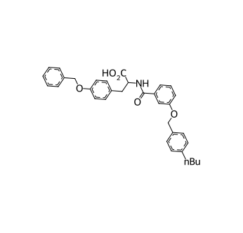 CCCCc1ccc(COc2cccc(C(=O)NC(Cc3ccc(OCc4ccccc4)cc3)C(=O)O)c2)cc1